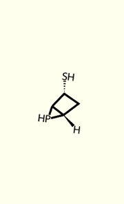 S[C@@H]1C[C@@H]2PC12